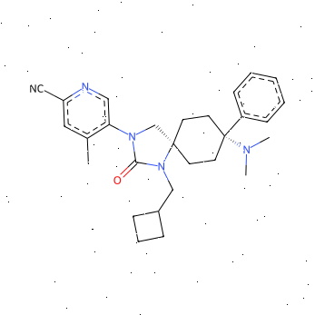 Cc1cc(C#N)ncc1N1C[C@]2(CC[C@@](c3ccccc3)(N(C)C)CC2)N(CC2CCC2)C1=O